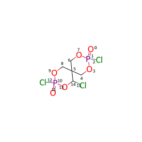 O=P1(Cl)OCC2(CO1)COP(=O)(Cl)OC2Cl